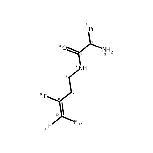 CC(C)C(N)C(=O)NCCC(F)=C(F)F